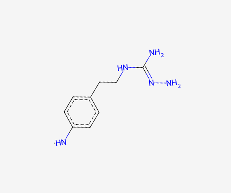 [NH]c1ccc(CCNC(N)=NN)cc1